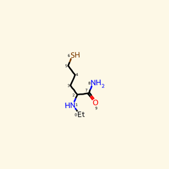 CCNC(CCCS)C(N)=O